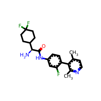 Cc1ccnc(C)c1-c1ccc(NC(=O)[C@@H](N)C2CCC(F)(F)CC2)cc1F